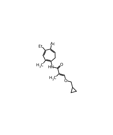 CCC1=CC(C)=C(NC(=O)/C(C)=C/OCC2CC2)CC=C1C(C)=O